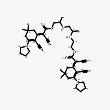 CC(COC(=O)/C(C#N)=C1\CC(C)(C)CC(N2CCCC2)=C1C#N)OCC(C)OCCOC(=O)/C(C#N)=C1\CC(C)(C)CC(N2CCCC2)=C1C#N